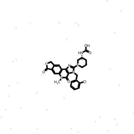 Cn1c(=O)c2c(nc(N3CCC[C@@H](NC(=O)O)C3)n2Cc2ccccc2Cl)c2cc3c(cc21)C(=O)OC3